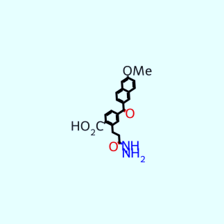 COc1ccc2cc(C(=O)c3ccc(C(=O)O)c(CCC(=O)NN)c3)ccc2c1